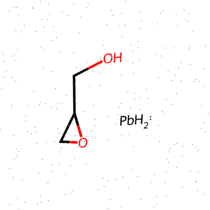 OCC1CO1.[PbH2]